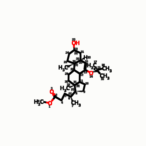 COC(=O)CC[C@@H](C)[C@H]1CCC2C3C(O[Si](C)(C)C)=C[C@@H]4C[C@H](O)CC[C@]4(C)C3CC[C@@]21C